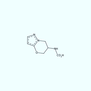 O=C(O)NC1COc2ccnn2C1